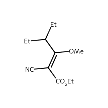 CCOC(=O)/C(C#N)=C(\OC)C(CC)CC